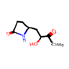 COC(=O)C(O)CC1CCC(=O)N1